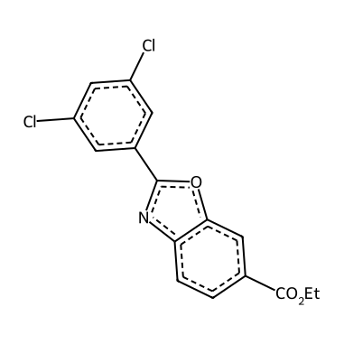 CCOC(=O)c1ccc2nc(-c3cc(Cl)cc(Cl)c3)oc2c1